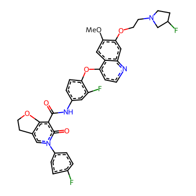 COc1cc2c(Oc3ccc(NC(=O)c4c5c(cn(-c6ccc(F)cc6)c4=O)CCO5)cc3F)ccnc2cc1OCCN1CCC(F)C1